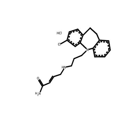 Cl.NC(=O)/C=C/CNCCCN1c2ccccc2CCc2ccc(Cl)cc21